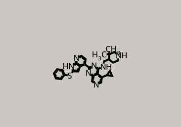 CC1(C)CNCCC1CNc1nc(-c2ccnc3[nH]c(Sc4ccccc4)cc23)nc2cncc(C3CC3)c12